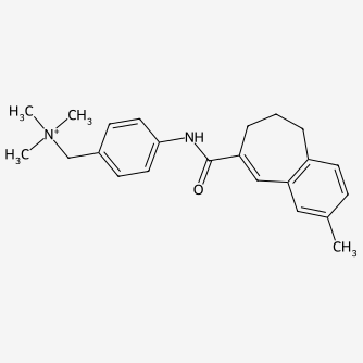 Cc1ccc2c(c1)C=C(C(=O)Nc1ccc(C[N+](C)(C)C)cc1)CCC2